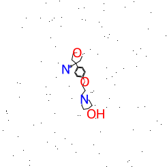 N#CC1(c2ccc(OCCCN3CCC(O)CC3)cc2)CCOCC1